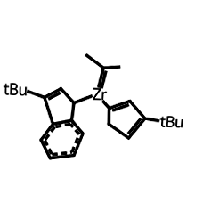 C[C](C)=[Zr]([C]1=CC(C(C)(C)C)=CC1)[CH]1C=C(C(C)(C)C)c2ccccc21